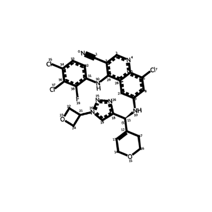 N#Cc1cnc2c(Cl)cc(N[C@@H](C3=CCOCC3)c3cn(C4COC4)nn3)cc2c1Nc1ccc(Cl)c(Cl)c1F